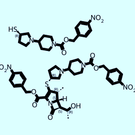 C[C@@H](O)[C@H]1C(=O)N2C(C(=O)OCc3ccc([N+](=O)[O-])cc3)=C(S[C@@H]3CCN(C4CCN(C(=O)OCc5ccc([N+](=O)[O-])cc5)CC4)C3)[C@H](C)[C@H]12.O=C(OCc1ccc([N+](=O)[O-])cc1)N1CCC(N2CC[C@@H](S)C2)CC1